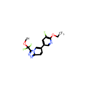 CC(C)OC(F)(F)c1nnc2ccc(-c3cnc(OCC(F)(F)F)c(F)c3)cn12